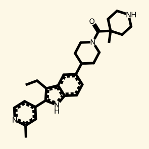 CCc1c(-c2ccnc(C)c2)[nH]c2ccc(C3CCN(C(=O)C4(C)CCNCC4)CC3)cc12